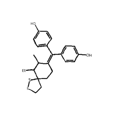 CCC1C(C)C(=C(c2ccc(O)cc2)c2ccc(O)cc2)CCC12CCSS2